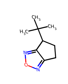 CC(C)(C)C1CCc2nonc21